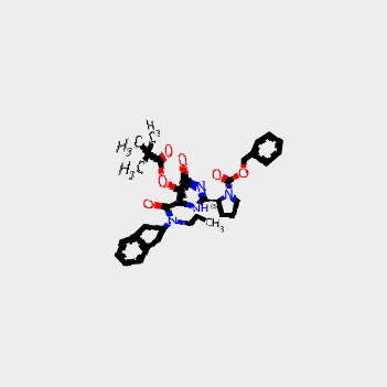 CCCN(C(=O)c1[nH]c([C@@H]2CCCN2C(=O)OCc2ccccc2)nc(=O)c1OC(=O)C(C)(C)C)C1Cc2ccccc2C1